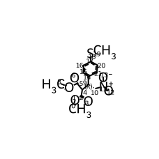 COC(=O)C(C(=O)OC)[C@@H](C[N+](=O)[O-])c1ccc(SC)cc1